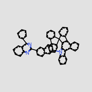 c1ccc(-c2nc(-c3ccc4cc(-n5c6ccccc6c6c7ccccc7c7c(c65)C5(c6ccccc6-c6ccccc65)c5ccccc5-7)ccc4c3)nc3ccccc23)cc1